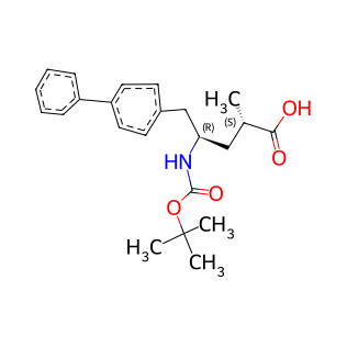 C[C@@H](C[C@H](Cc1ccc(-c2ccccc2)cc1)NC(=O)OC(C)(C)C)C(=O)O